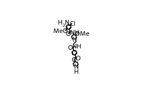 COc1cc(N)c(Cl)cc1C(=O)N[C@@H]1CCN(CCNC(=O)c2ccc(C(=O)OC3CCNCC3)cc2)C[C@@H]1OC